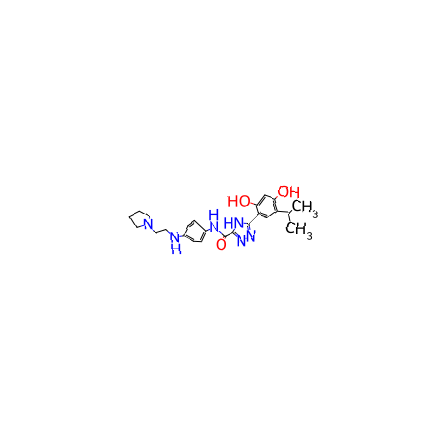 CC(C)c1cc(-c2nnc(C(=O)Nc3ccc(NCCN4CCCC4)cc3)[nH]2)c(O)cc1O